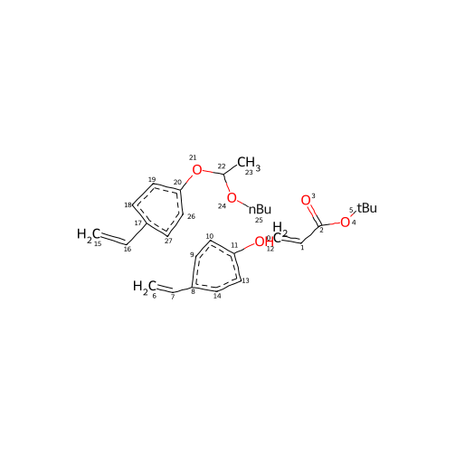 C=CC(=O)OC(C)(C)C.C=Cc1ccc(O)cc1.C=Cc1ccc(OC(C)OCCCC)cc1